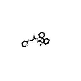 CNC(=S)[C@]1(c2cccnc2)CCCC[C@H]1OC(=O)COC1CCCCO1